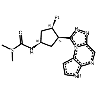 CC[C@@H]1C[C@H](NC(=O)N(C)C)C[C@@H]1c1nnc2cnc3[nH]ccc3n12